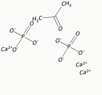 CC(C)=O.O=P([O-])([O-])[O-].O=P([O-])([O-])[O-].[Ca+2].[Ca+2].[Ca+2]